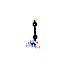 CC(C)(N)[C@H](NC(=O)c1ccc(C#CC#Cc2ccc(C(F)(F)F)cc2)cc1)C(=O)NO